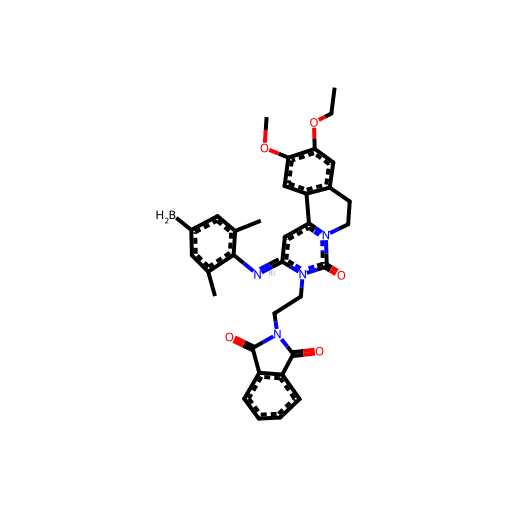 Bc1cc(C)c(/N=c2\cc3n(c(=O)n2CCN2C(=O)c4ccccc4C2=O)CCc2cc(OCC)c(OC)cc2-3)c(C)c1